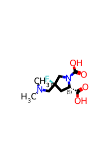 CN(C)C[C@@]1(F)C[C@@H](C(=O)O)N(C(=O)O)C1